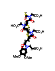 COc1cc2c(cc1OC)N(CCS(=O)(=O)O)C(=CC=c1s/c(=c3/s/c(=C4/OC(=S)N(CC(=O)O)C4=O)n(CC(=O)O)c3=O)n(CC(=O)O)c1=O)O2